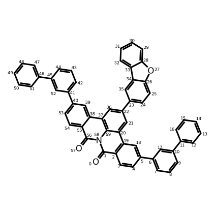 O=c1c2ccc(-c3cccc(-c4ccccc4)c3)cc2c2cc(-c3ccc4oc5ccccc5c4c3)cc3c4cc(-c5cccc(-c6ccccc6)c5)ccc4c(=O)n1c23